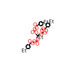 CCc1ccc(C(=O)OOC(=O)OCC(CC)(COC(=O)OOC(=O)c2ccc(CC)cc2)COC(=O)OOC(=O)c2ccc(CC)cc2)cc1